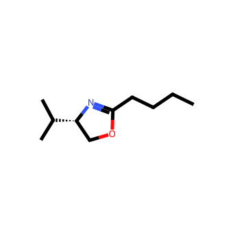 CCCCC1=N[C@@H](C(C)C)CO1